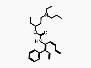 C=C/C=C\C(NC(=O)OC(CC)CCN(CC)CCC)=C(/C=C)c1ccccc1